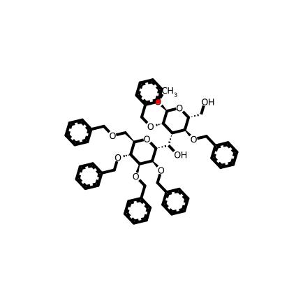 CO[C@H]1O[C@H](CO)[C@@H](OCc2ccccc2)[C@H](C(O)[C@H]2O[C@H](COCc3ccccc3)[C@@H](OCc3ccccc3)[C@H](OCc3ccccc3)[C@@H]2OCc2ccccc2)[C@@H]1OCc1ccccc1